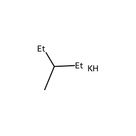 CCC(C)CC.[KH]